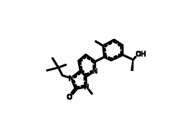 Cc1ccc([C@H](C)O)cc1-c1ccc2c(n1)n(C)c(=O)n2CC(C)(C)C